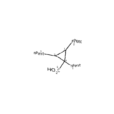 CCCCCC1C(CCCCC)C1(CCCCC)C(=O)O